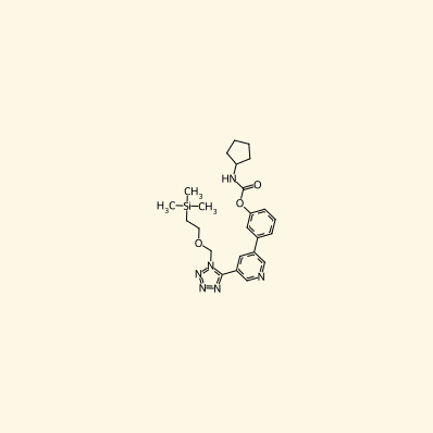 C[Si](C)(C)CCOCn1nnnc1-c1cncc(-c2cccc(OC(=O)NC3CCCC3)c2)c1